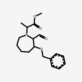 COC(=O)C(C)N1CCCCC(OCc2ccccc2)C1C=O